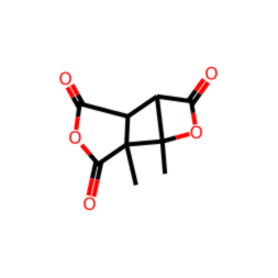 CC12OC(=O)C1C1C(=O)OC(=O)C12C